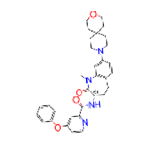 CN1C(=O)[C@@H](NC(=O)c2cc(Oc3ccccc3)ccn2)CCc2ccc(N3CCC4(CCOCC4)CC3)cc21